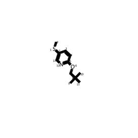 CSc1ccc(OCC(C)(C)C)nc1